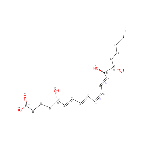 CCCCC[C@H](O)[C@H](O)/C=C/C=C\C=CC=C[C@@H](O)CCCC(=O)O